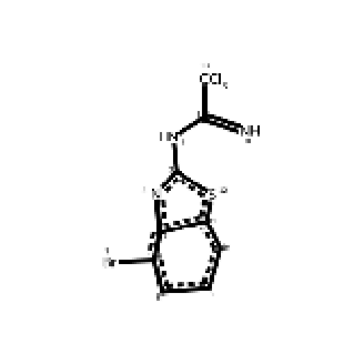 N=C(Nc1nc2c(Br)cccc2s1)C(Cl)(Cl)Cl